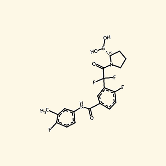 Cc1cc(NC(=O)c2ccc(F)c(C(F)(F)C(=O)N3CCC[C@H]3B(O)O)c2)ccc1F